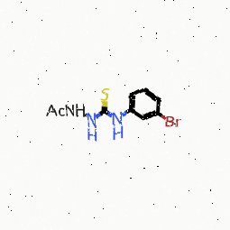 [CH2]C(=O)NNC(=S)Nc1cccc(Br)c1